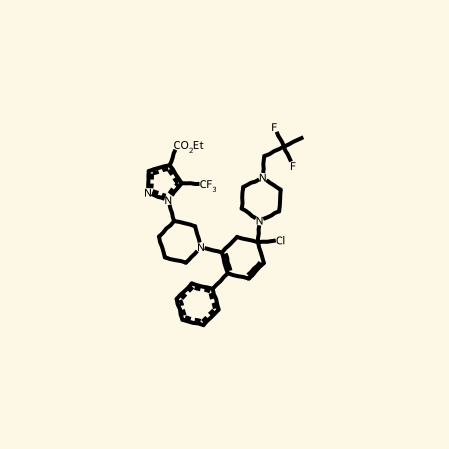 CCOC(=O)c1cnn(C2CCCN(C3=C(c4ccccc4)C=CC(Cl)(N4CCN(CC(C)(F)F)CC4)C3)C2)c1C(F)(F)F